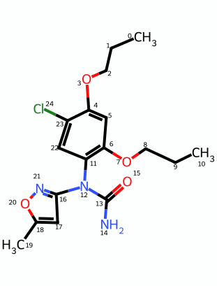 CCCOc1cc(OCCC)c(N(C(N)=O)c2cc(C)on2)cc1Cl